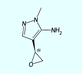 Cn1ncc([C@H]2CO2)c1N